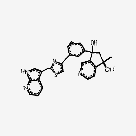 CC1(O)CC(O)(c2cccc(-c3csc(-c4c[nH]c5ncccc45)n3)c2)c2cnccc21